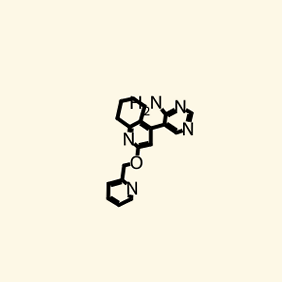 Nc1ncncc1-c1cc(OCc2ccccn2)nc2c1CCCC2